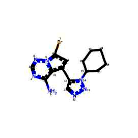 Nc1ncnn2c(Br)cc(-c3cnnn3C3CCCCC3)c12